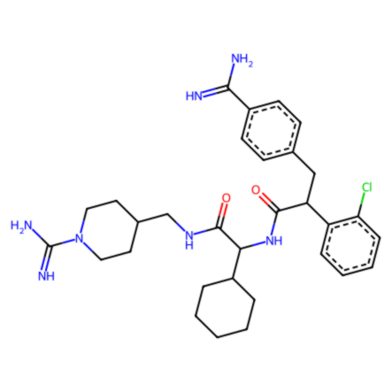 N=C(N)c1ccc(CC(C(=O)NC(C(=O)NCC2CCN(C(=N)N)CC2)C2CCCCC2)c2ccccc2Cl)cc1